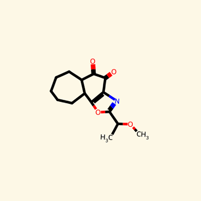 COC(C)c1nc2c(o1)C1CCCCCC1C(=O)C2=O